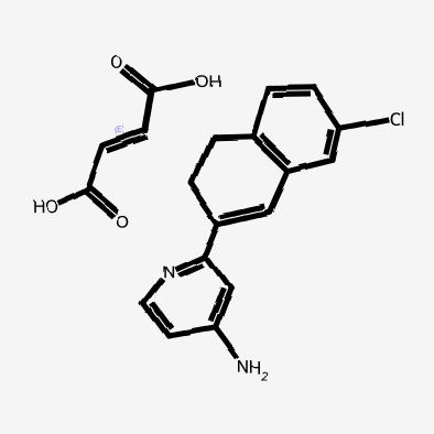 Nc1ccnc(C2=Cc3cc(Cl)ccc3CC2)c1.O=C(O)/C=C/C(=O)O